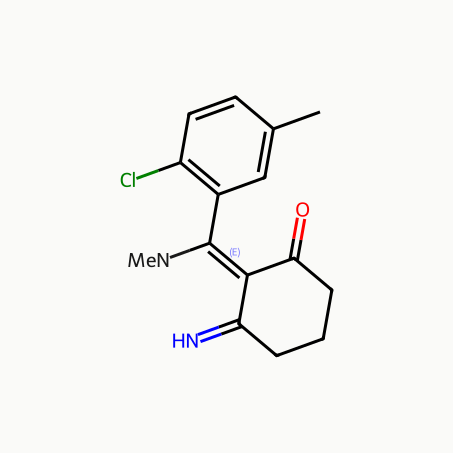 CN/C(=C1\C(=N)CCCC1=O)c1cc(C)ccc1Cl